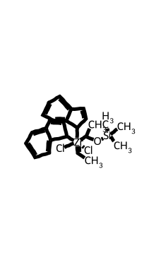 C[CH]=[Zr]([Cl])([Cl])([CH](C)O[Si](C)(C)C)([CH]1C=Cc2ccccc21)[CH]1C=Cc2ccccc21